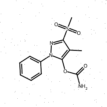 Cc1c(S(C)(=O)=O)nn(-c2ccccc2)c1OC(N)=O